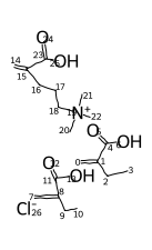 C=C(CC)C(=O)O.C=C(CC)C(=O)O.C=C(CCC[N+](C)(C)C)C(=O)O.[Cl-]